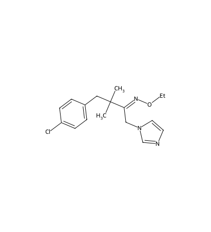 CCON=C(Cn1ccnc1)C(C)(C)Cc1ccc(Cl)cc1